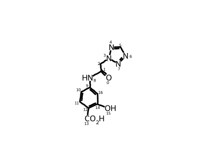 O=C(Cn1ncnn1)Nc1ccc(C(=O)O)c(O)c1